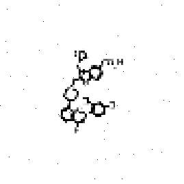 O=C(O)c1ccc2nc(CN3CCC(c4cccc5c4O[C@@H](c4ccc(Cl)cc4Cl)C=C5F)CC3)n(C[C@@H]3CCO3)c2c1